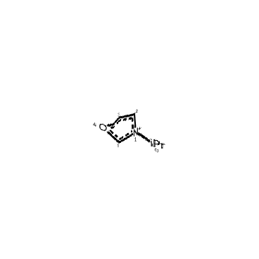 CC(C)[n+]1ccoc1